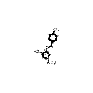 N[C@@H]1CN(C(=O)O)C[C@H]1OCc1ccc(C(F)(F)F)cc1